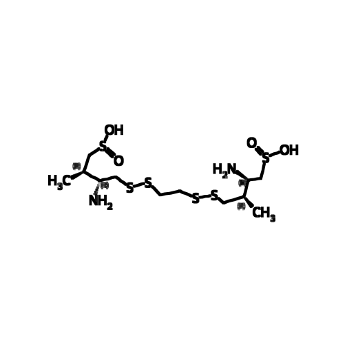 C[C@@H](CS(=O)O)[C@@H](N)CSSCCSSC[C@H](C)[C@@H](N)CS(=O)O